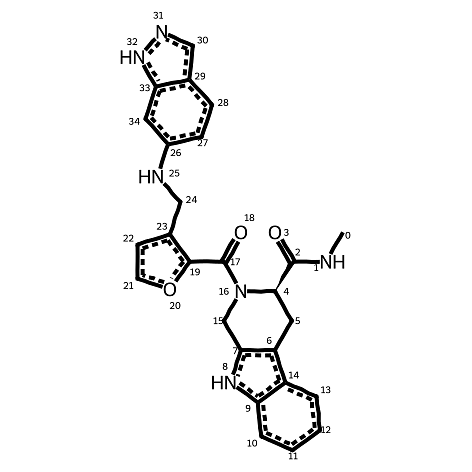 CNC(=O)[C@H]1Cc2c([nH]c3ccccc23)CN1C(=O)c1occc1CNc1ccc2cn[nH]c2c1